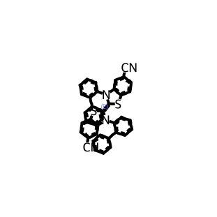 N#Cc1ccc2c(c1)N(c1ccccc1-c1ccccc1)/C(=C1\Sc3ccc(C#N)cc3N1c1ccccc1-c1ccccc1)S2